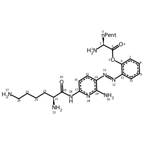 CCCCC[C@H](N)C(=O)Oc1ccccc1/N=N/c1ccc(NC(=O)[C@@H](N)CCCCN)nc1N